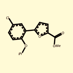 COC(=O)c1ccc(-c2cc(Cl)ccc2OC(C)C)o1